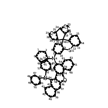 c1ccc(N(c2ccc3c(c2)Sc2ccccc2C32c3ccccc3-c3ccccc32)c2cc3c(oc4cc5ccccc5c(N(c5ccccc5)c5ccccc5)c43)c3ccccc23)cc1